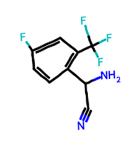 N#CC(N)c1ccc(F)cc1C(F)(F)F